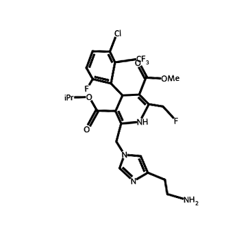 COC(=O)C1=C(CF)NC(Cn2cnc(CCN)c2)=C(C(=O)OC(C)C)C1c1c(F)ccc(Cl)c1C(F)(F)F